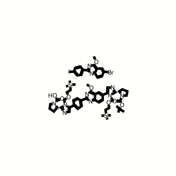 COc1nc(-c2ccc(-c3cnc([C@@H]4CCCN4C(=O)O)n3COCC[Si](C)(C)C)cc2)nc2ccc(-c3cnc([C@@H]4CCCN4C(=O)OC(C)(C)C)n3COCC[Si](C)(C)C)cc12.COc1nc(-c2ccc(I)cc2)nc2ccc(Br)cc12